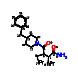 CCCC(C(N)=O)C(CC(C)C)C(=O)N1CCC(Cc2ccccc2)CC1